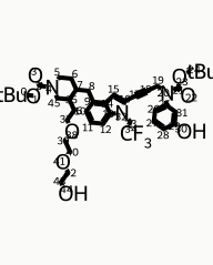 CC(C)(C)OC(=O)N1CCC(Cc2cccc3c2cc(C#CCN(C(=O)OC(C)(C)C)c2cccc(O)c2)n3CC(F)(F)F)C(CCOCCOCCO)C1